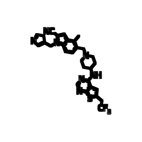 Cc1c(CN2CCC(Nc3ncnc4sc(CC(F)(F)F)cc34)CC2)ccc2c1cc(C#N)n2CC1=CN=CC1